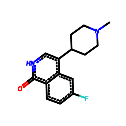 CN1CCC(c2c[nH]c(=O)c3ccc(F)cc23)CC1